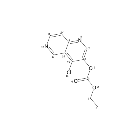 CCOC(=O)Oc1cnc2ccncc2c1Cl